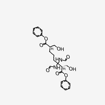 O=CNC(CCC[C@H](CO)C(=O)Oc1ccccc1)(NC=O)[C@H](CO)C(=O)Oc1ccccc1